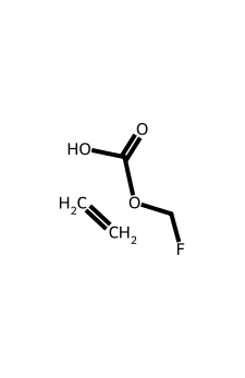 C=C.O=C(O)OCF